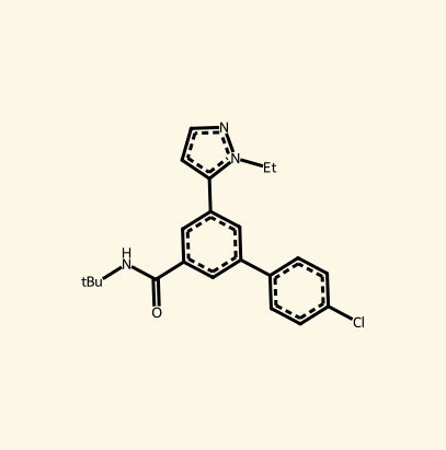 CCn1nccc1-c1cc(C(=O)NC(C)(C)C)cc(-c2ccc(Cl)cc2)c1